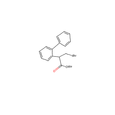 COC(=O)C(CC(C)(C)C)c1ccccc1-c1ccccc1